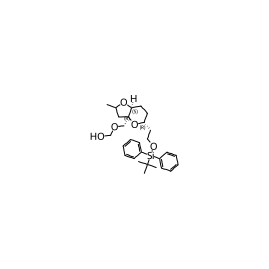 CC1C[C@]2(COCO)O[C@@H](CCO[Si](c3ccccc3)(c3ccccc3)C(C)(C)C)CC[C@@H]2O1